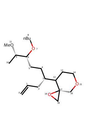 C=CC[C@H](CC[C@@H](OCCCC)[C@H](C)OC)C1CCOC[C@@]12CO2